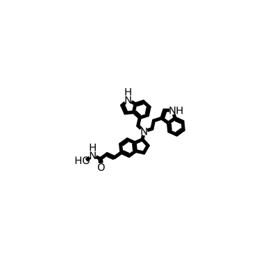 O=C(C=Cc1ccc2c(c1)CCC2N(CCc1c[nH]c2ccccc12)Cc1cccc2[nH]ccc12)NO